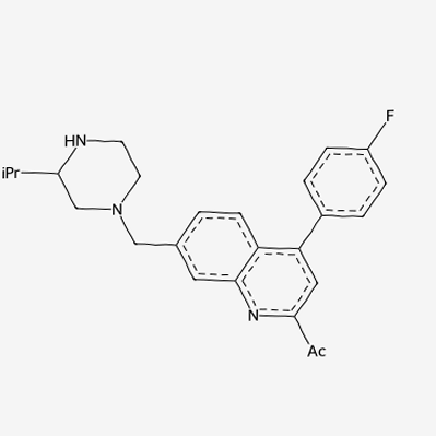 CC(=O)c1cc(-c2ccc(F)cc2)c2ccc(CN3CCNC(C(C)C)C3)cc2n1